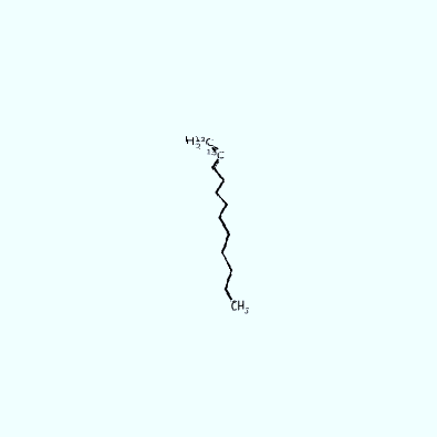 CCCCCCCCCC[13CH]=[13CH2]